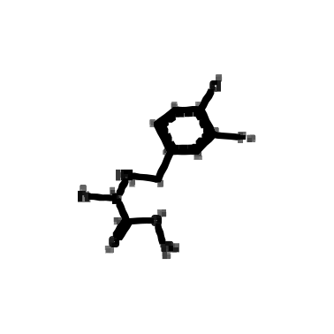 CCN(NCc1ccc(Cl)c(F)c1)C(=O)OC(C)(C)C